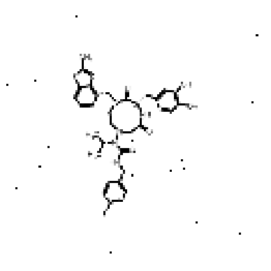 CC(C)N(C(=O)NCc1ccc(F)cc1)N1CCN(Cc2cccc3sc(N)nc23)C(=O)[C@H](Cc2ccc(O)c(O)c2)NC(=O)C1